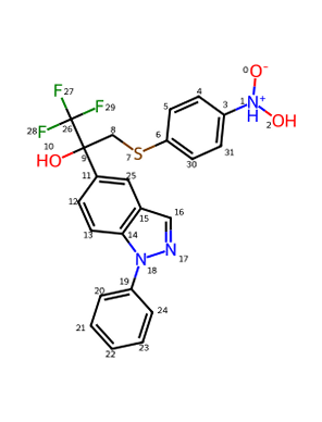 [O-][NH+](O)c1ccc(SCC(O)(c2ccc3c(cnn3-c3ccccc3)c2)C(F)(F)F)cc1